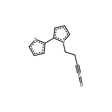 O=P#CCCn1cccc1-c1cccs1